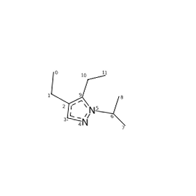 CCc1[c]nn(C(C)C)c1CC